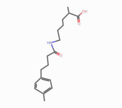 Cc1ccc(CCCC(=O)NCCCCC(C)C(=O)O)cc1